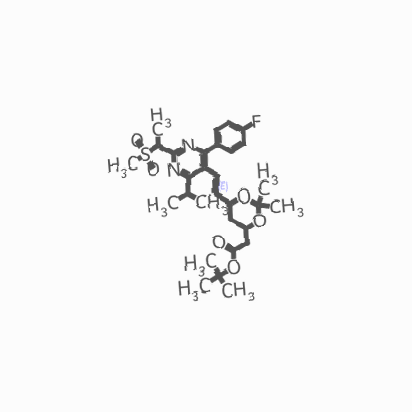 CC(C)c1nc(C(C)S(C)(=O)=O)nc(-c2ccc(F)cc2)c1/C=C/C1CC(CC(=O)OC(C)(C)C)OC(C)(C)O1